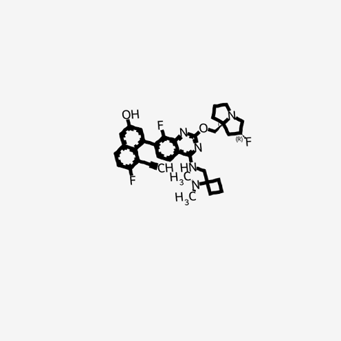 C#Cc1c(F)ccc2cc(O)cc(-c3ccc4c(NCC5(N(C)C)CCC5)nc(OC[C@@]56CCCN5C[C@H](F)C6)nc4c3F)c12